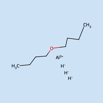 CCCCOCCCC.[Al+3].[H-].[H-].[H-]